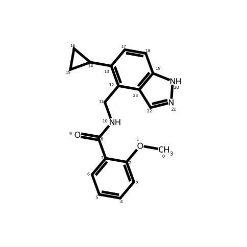 COc1ccccc1C(=O)NCc1c(C2CC2)ccc2[nH]ncc12